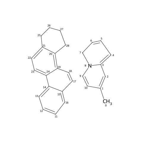 CC1=CC2=CC=CCN2C=C1.c1ccc2c(c1)ccc1c3c(ccc12)CCCC3